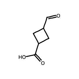 O=CC1CC(C(=O)O)C1